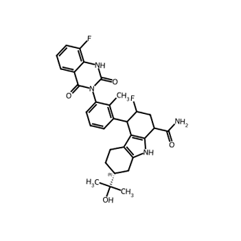 Cc1c(C2c3c([nH]c4c3CC[C@@H](C(C)(C)O)C4)C(C(N)=O)CC2F)cccc1-n1c(=O)[nH]c2c(F)cccc2c1=O